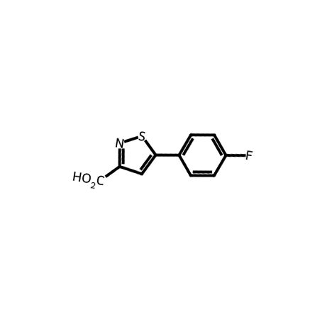 O=C(O)c1cc(-c2ccc(F)cc2)sn1